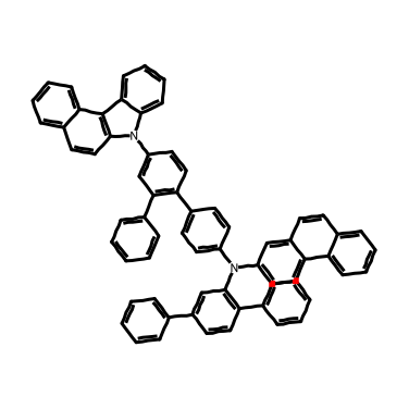 c1ccc(-c2ccc(-c3ccccc3)c(N(c3ccc(-c4ccc(-n5c6ccccc6c6c7ccccc7ccc65)cc4-c4ccccc4)cc3)c3ccc4c(ccc5ccccc54)c3)c2)cc1